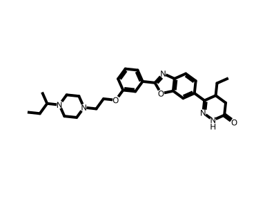 CCC1CC(=O)NN=C1c1ccc2nc(-c3cccc(OCCN4CCN(C(C)CC)CC4)c3)oc2c1